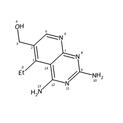 CCc1c(CO)cnc2nc(N)nc(N)c12